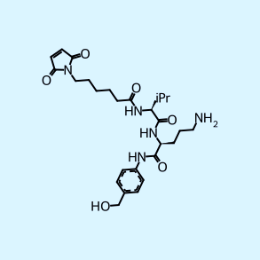 CC(C)[C@H](NC(=O)CCCCCN1C(=O)C=CC1=O)C(=O)N[C@@H](CCCN)C(=O)Nc1ccc(CO)cc1